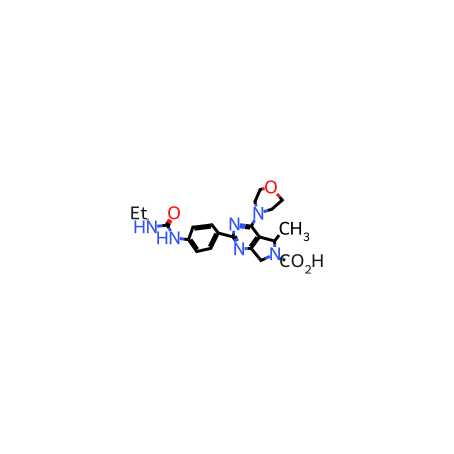 CCNC(=O)Nc1ccc(-c2nc3c(c(N4CCOCC4)n2)C(C)N(C(=O)O)C3)cc1